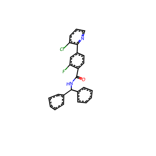 O=C(NC(c1ccccc1)c1ccccc1)c1ccc(-c2ncccc2Cl)cc1F